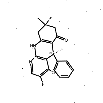 CC1(C)CC(=O)C2=C(C1)Nc1ncc(F)c(C(F)(F)F)c1[C@]2(C)c1ccccc1